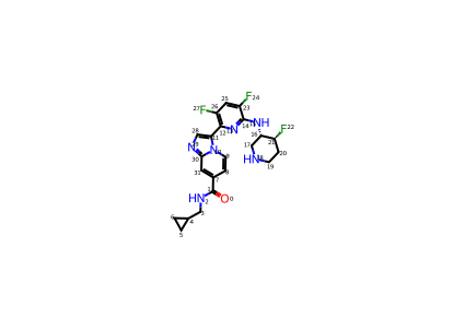 O=C(NCC1CC1)c1ccn2c(-c3nc(N[C@H]4CNCC[C@@H]4F)c(F)cc3F)cnc2c1